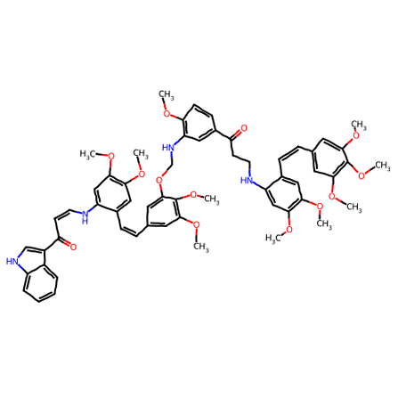 COc1ccc(C(=O)CCNc2cc(OC)c(OC)cc2/C=C\c2cc(OC)c(OC)c(OC)c2)cc1NCOc1cc(/C=C\c2cc(OC)c(OC)cc2N/C=C\C(=O)c2c[nH]c3ccccc23)cc(OC)c1OC